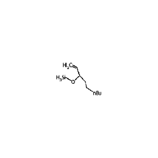 C=CC(CCCCCC)O[SiH3]